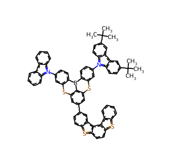 CC(C)(C)c1ccc2c(c1)c1cc(C(C)(C)C)ccc1n2-c1ccc2c(c1)Sc1cc(-c3ccc4sc5ccc6sc7ccccc7c6c5c4c3)cc3c1B2c1ccc(-n2c4ccccc4c4ccccc42)cc1S3